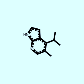 Cc1cnc2[nH]ccc2c1C(C)C